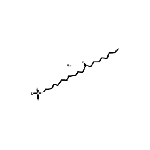 CCCCCCCCC(=O)CCCCCCCCCCOS(=O)(=O)[O-].[Na+]